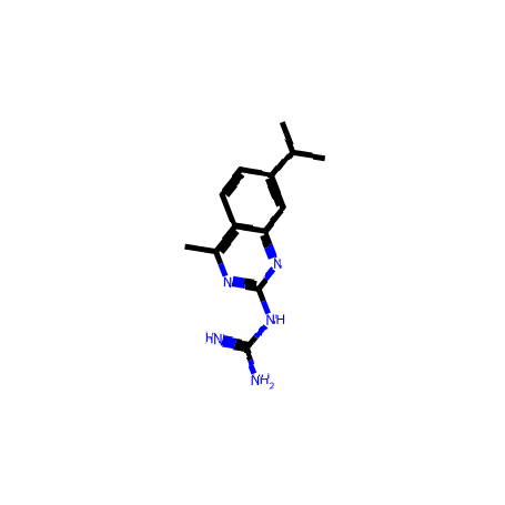 Cc1nc(NC(=N)N)nc2cc(C(C)C)ccc12